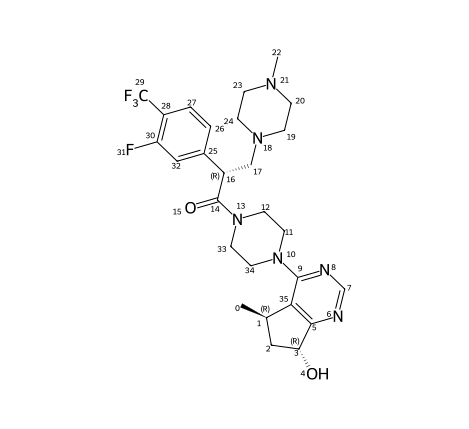 C[C@@H]1C[C@@H](O)c2ncnc(N3CCN(C(=O)[C@@H](CN4CCN(C)CC4)c4ccc(C(F)(F)F)c(F)c4)CC3)c21